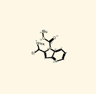 CCCCCCC(CC)c1cc2ncccc2n1C(=O)OC(C)(C)C